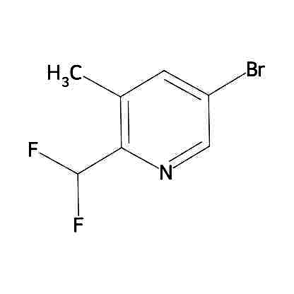 Cc1cc(Br)cnc1C(F)F